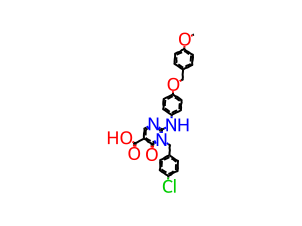 COc1ccc(COc2ccc(Nc3ncc(C(=O)O)c(=O)n3Cc3ccc(Cl)cc3)cc2)cc1